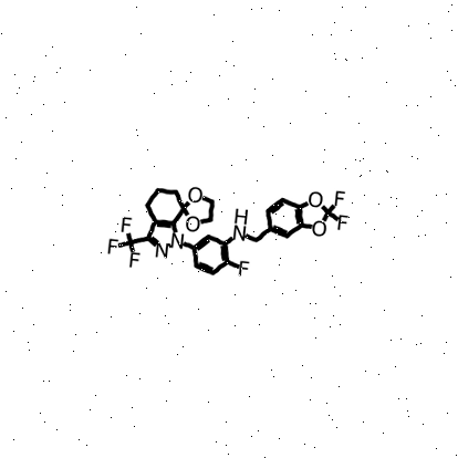 Fc1ccc(-n2nc(C(F)(F)F)c3c2C2(CCC3)OCCO2)cc1NCc1ccc2c(c1)OC(F)(F)O2